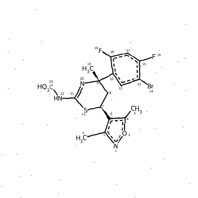 Cc1noc(C)c1[C@@H]1C[C@@](C)(c2cc(Br)c(F)cc2F)N=C(NC(=O)O)S1